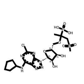 CC(CS(C)(=O)=O)(OC[C@H]1O[C@@H](n2nnc3c(NC4CCCC4)nc(Cl)nc32)[C@H](O)[C@@H]1O)P(=O)(O)O